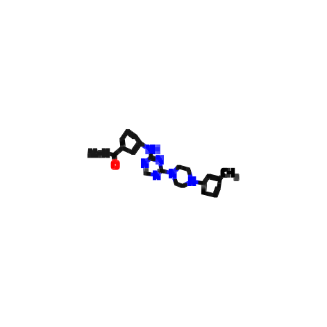 CNC(=O)c1cccc(Nc2ncnc(N3CCN(c4cccc(C)c4)CC3)n2)c1